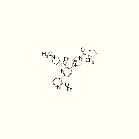 CCOc1ncccc1-c1ccc(N2CCN(C(=O)C3(C(F)(F)F)CCCC3)C[C@H]2CC)c(O[C@@H]2CCN(C)C2)n1